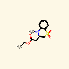 CCOC(=O)CC1=CS(=O)(=O)c2ccccc2N1C